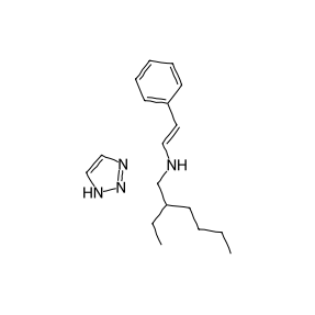 CCCCC(CC)CNC=Cc1ccccc1.c1c[nH]nn1